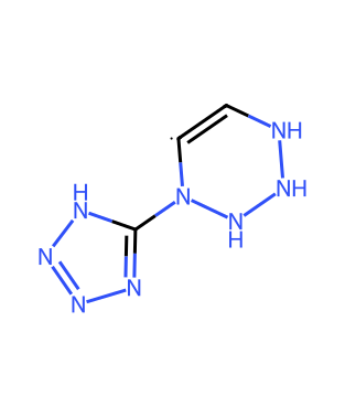 [c]1c[nH][nH][nH]n1-c1nnn[nH]1